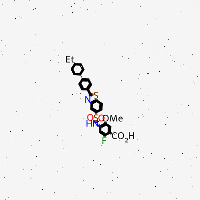 CC[C@H]1CC[C@H](c2ccc(-c3nc4cc(S(=O)(=O)Nc5cc(F)c(C(=O)O)cc5OC)ccc4s3)cc2)CC1